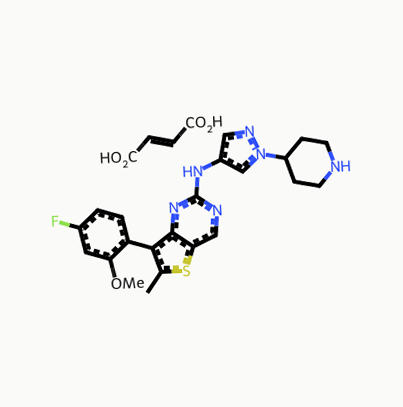 COc1cc(F)ccc1-c1c(C)sc2cnc(Nc3cnn(C4CCNCC4)c3)nc12.O=C(O)/C=C/C(=O)O